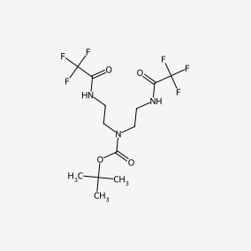 CC(C)(C)OC(=O)N(CCNC(=O)C(F)(F)F)CCNC(=O)C(F)(F)F